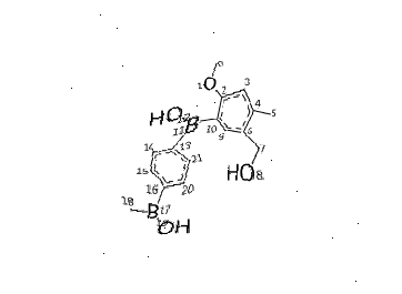 COc1cc(C)c(CO)cc1B(O)c1ccc(B(C)O)cc1